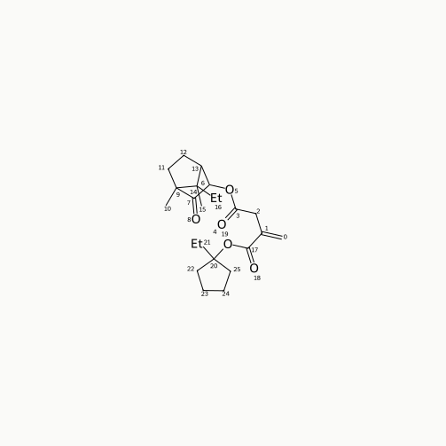 C=C(CC(=O)OC1C(=O)C2(C)CCC1C2(C)CC)C(=O)OC1(CC)CCCC1